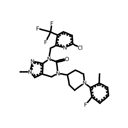 Cc1cccc(F)c1N1CCC(N2Cc3cn(C)nc3N(Cc3nc(Cl)ccc3C(F)(F)F)C2=O)CC1